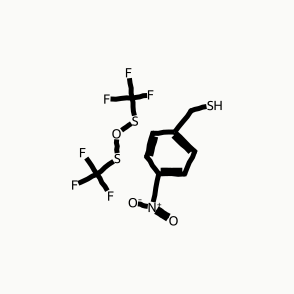 FC(F)(F)SOSC(F)(F)F.O=[N+]([O-])c1ccc(CS)cc1